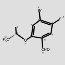 C[C@H](Oc1cc(Br)c(F)cc1[C]=O)C(F)(F)F